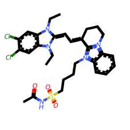 CCN1C(=CC=C2CCCn3c2[n+](CCCCS(=O)(=O)NC(C)=O)c2ccccc23)N(CC)c2cc(Cl)c(Cl)cc21